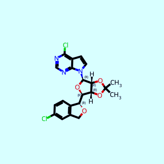 CC1(C)O[C@H]2[C@@H](O1)[C@H](n1ccc3c(Cl)ncnc31)O[C@@H]2[C@@H]1OCc2cc(Cl)ccc21